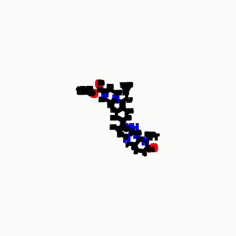 CC(C)n1c(=O)ccc2cnc(NC3(c4ccc(C(CC5CC5)N5CCN(C(=O)OC(C)(C)C)CC5)cc4)CC3)nc21